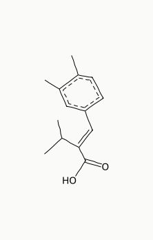 Cc1ccc(/C=C(/C(=O)O)C(C)C)cc1C